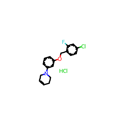 Cl.Fc1cc(Cl)ccc1COc1cccc(N2CC=CCC2)c1